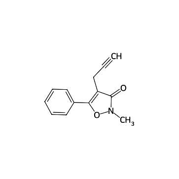 C#CCc1c(-c2ccccc2)on(C)c1=O